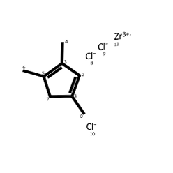 CC1=CC(C)=C(C)C1.[Cl-].[Cl-].[Cl-].[Zr+3]